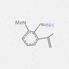 C=C(C)c1cccc(NC)c1C=N